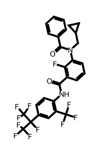 O=C(Nc1ccc(C(F)(C(F)(F)F)C(F)(F)F)cc1C(F)(F)F)c1cccc(N(CC2CC2)C(=O)c2ccccc2)c1F